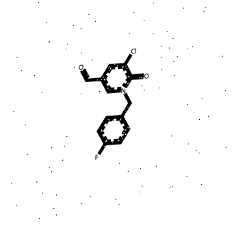 O=Cc1cc(Cl)c(=O)n(Cc2ccc(F)cc2)c1